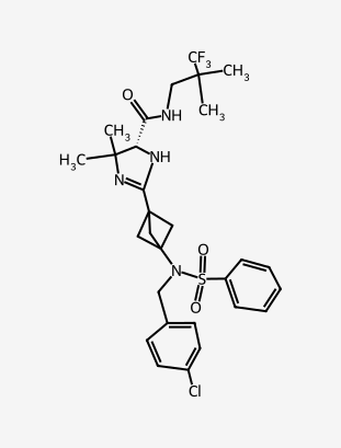 CC1(C)N=C(C23CC(N(Cc4ccc(Cl)cc4)S(=O)(=O)c4ccccc4)(C2)C3)N[C@H]1C(=O)NCC(C)(C)C(F)(F)F